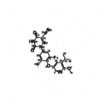 COc1ncc(Oc2c(F)cc(-n3nc(C#N)c(=O)[nH]c3=O)cc2F)cc1C(C)C